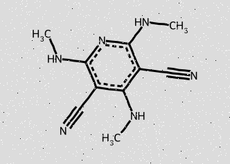 CNc1nc(NC)c(C#N)c(NC)c1C#N